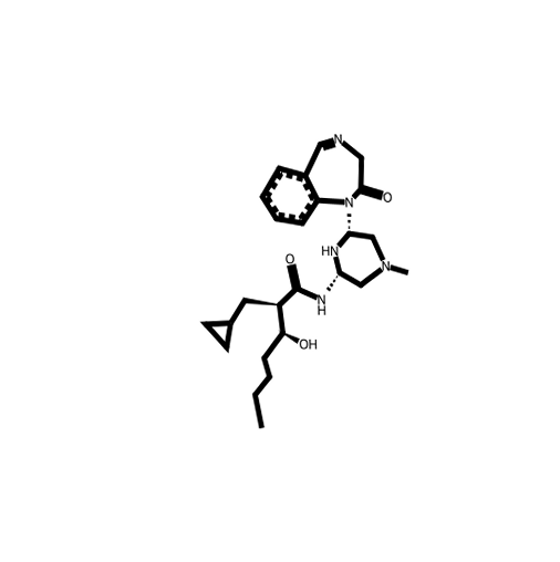 CCCC[C@H](O)[C@@H](CC1CC1)C(=O)N[C@H]1CN(C)C[C@@H](N2C(=O)CN=Cc3ccccc32)N1